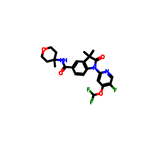 CC1(NC(=O)c2ccc3c(c2)C(C)(C)C(=O)N3c2cc(OC(F)F)c(F)cn2)CCOCC1